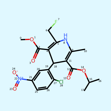 COC(=O)C1=C(CF)NC(C)=C(C(=O)OC(C)C)C1c1cc([N+](=O)[O-])ccc1Cl